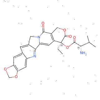 CC[C@@]1(OC(=O)[C@@H](N)C(C)C)C(=O)OCc2c1cc1n(c2=O)Cc2cc3cc4c(cc3nc2-1)OCO4